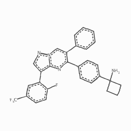 NC1(c2ccc(-c3nc4c(-c5cc(C(F)(F)F)ccc5F)cnn4cc3-c3ccccc3)cc2)CCC1